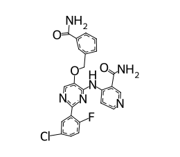 NC(=O)c1cccc(COc2cnc(-c3cc(Cl)ccc3F)nc2Nc2ccncc2C(N)=O)c1